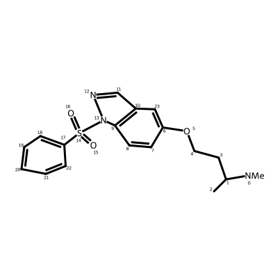 CNC(C)CCOc1ccc2c(cnn2S(=O)(=O)c2ccccc2)c1